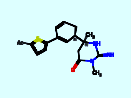 CC(=O)c1ccc(C2=C[C@H]([C@]3(C)CC(=O)N(C)C(=N)N3)CC=C2)s1